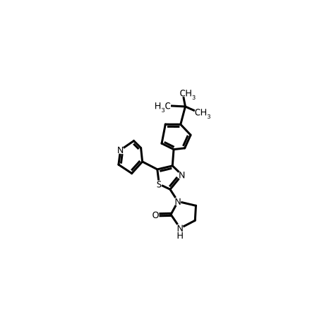 CC(C)(C)c1ccc(-c2nc(N3CCNC3=O)sc2-c2ccncc2)cc1